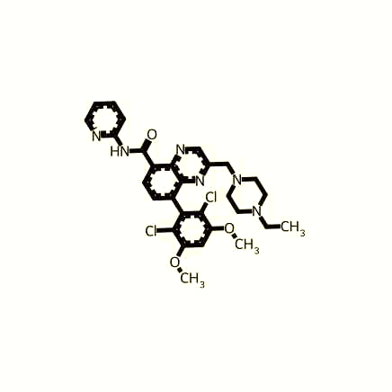 CCN1CCN(Cc2cnc3c(C(=O)Nc4ccccn4)ccc(-c4c(Cl)c(OC)cc(OC)c4Cl)c3n2)CC1